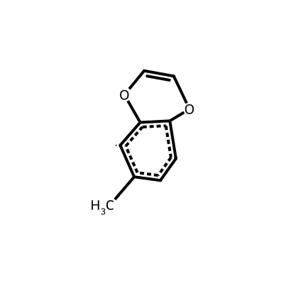 Cc1[c]c2c(cc1)OC=CO2